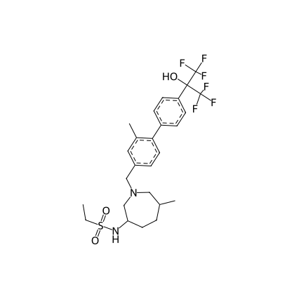 CCS(=O)(=O)NC1CCC(C)CN(Cc2ccc(-c3ccc(C(O)(C(F)(F)F)C(F)(F)F)cc3)c(C)c2)C1